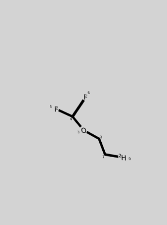 [2H]CCOC(F)F